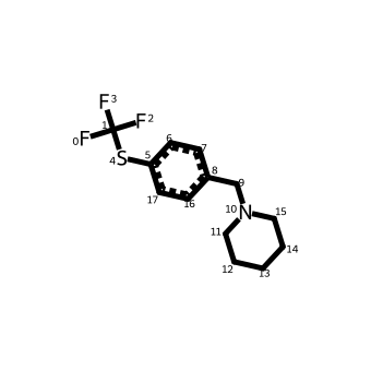 FC(F)(F)Sc1ccc(CN2CCCCC2)cc1